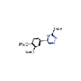 COc1ccc(-c2cnnc(SC)n2)cc1OC